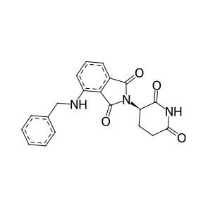 O=C1CC[C@@H](N2C(=O)c3cccc(NCc4ccccc4)c3C2=O)C(=O)N1